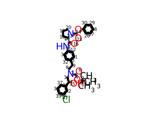 CC(C)(C)OC(=O)N(CCc1ccc(NC(=O)[C@@H]2CCCN2C(=O)Oc2ccccc2)cc1)CC(O)c1cccc(Cl)c1